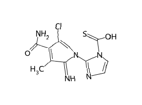 Cc1c(C(N)=O)c(Cl)cn(-c2nccn2C(O)=S)c1=N